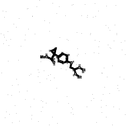 CCOC(COc1ccc(C2(C(=O)OC)CC2)cc1)OCC